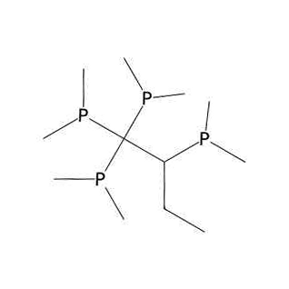 CCC(P(C)C)C(P(C)C)(P(C)C)P(C)C